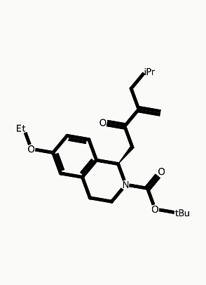 C=C(CC(C)C)C(=O)C[C@@H]1c2ccc(OCC)cc2CCN1C(=O)OC(C)(C)C